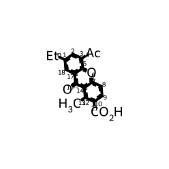 CCc1cc(C(C)=O)c2oc3ccc(C(=O)O)c(C)c3c(=O)c2c1